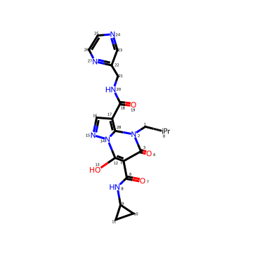 CC(C)Cn1c(=O)c(C(=O)NC2CC2)c(O)n2ncc(C(=O)NCc3cnccn3)c12